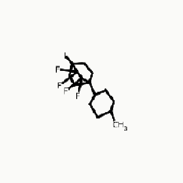 CC1CCC(C23CCC(I)(CC2)C(F)(F)C3(F)F)CC1